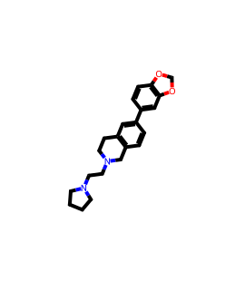 c1cc2c(cc1-c1ccc3c(c1)OCO3)CCN(CCN1CCCC1)C2